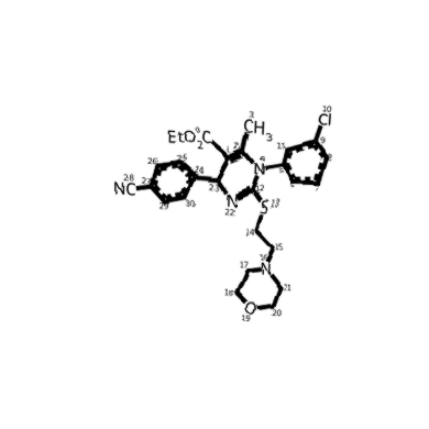 CCOC(=O)C1=C(C)N(c2cccc(Cl)c2)C(SCCN2CCOCC2)=NC1c1ccc(C#N)cc1